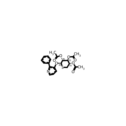 CC(=O)O[C@@H]1[C@@H](OC(C)=O)[C@H](OC(C)=O)CS[C@H]1Oc1cccnc1-c1ccccc1